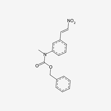 CN(C(=O)OCc1ccccc1)c1cccc(C=C[N+](=O)[O-])c1